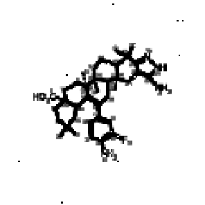 CC1(C)CC[C@]2(C(=O)O)CC[C@]3(C)C(=C(c4ccc(N)c(F)c4)CC4[C@@]5(C)Cc6c(n[nH]c6N)C(C)(C)C5CC[C@]43C)C2C1